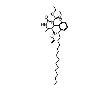 C=COC(=O)C1=C(C)NC(=O)N(C(=O)OCC)C1c1c(CCCCCCCCCCCCCCC)cccc1OCC